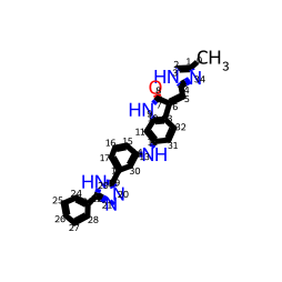 Cc1c[nH]c(/C=C2\C(=O)Nc3cc(Nc4cccc(-c5nnc(-c6ccccc6)[nH]5)c4)ccc32)n1